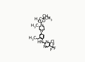 CCc1cc(N2CCN(C(=O)OC(C)(C)C)[C@@H](C)C2)ccc1Nc1ncc(C(F)(F)F)c(Cl)n1